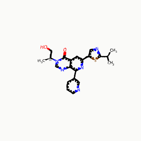 CC(C)c1ncc(-c2cc3c(=O)n([C@@H](C)CO)cnc3c(-c3cccnc3)n2)s1